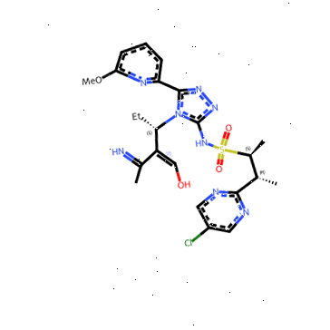 CC[C@@H](/C(=C/O)C(C)=N)n1c(NS(=O)(=O)[C@@H](C)[C@H](C)c2ncc(Cl)cn2)nnc1-c1cccc(OC)n1